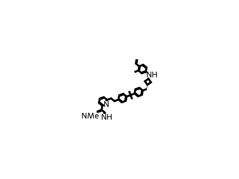 C=Cc1ccc(N[C@H]2C[C@@H](Cc3ccc(C(C)(C)c4ccc(CCc5cccc(/C(C=N)=C/NC)n5)cc4)cc3)C2)cc1C